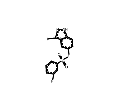 O=S(=O)(Oc1ccc2[nH]nc(I)c2c1)c1cccc(F)c1